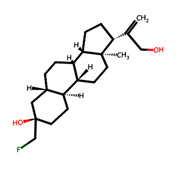 C=C(CO)[C@H]1CC[C@H]2[C@@H]3CC[C@H]4C[C@@](O)(CF)CC[C@@H]4[C@H]3CC[C@]12C